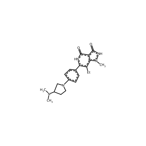 CCc1c(-c2ccc(N3CCC(N(C)C)C3)cc2)[nH]c(=O)c2c(=O)[nH]n(C)c12